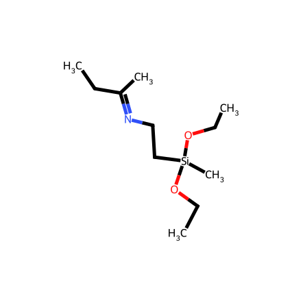 CCO[Si](C)(CC/N=C(\C)CC)OCC